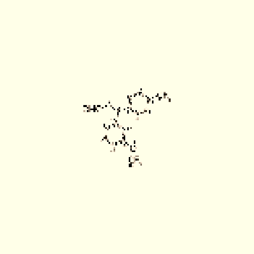 O=CCC(c1ccc(C(F)(F)F)cc1)c1cccc(OC(F)(F)F)c1